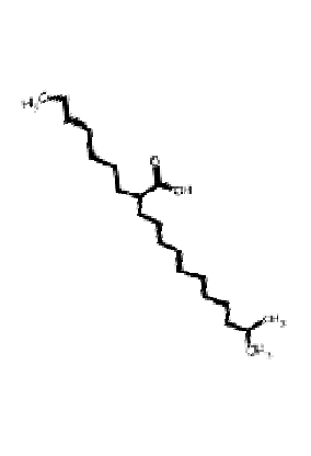 CCCCCCCC(CCCCCCCCCC(C)C)C(=O)O